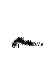 COc1ccc2c(c1)CC[C@@H]1[C@@H]2CC[C@]2(C)[C@@H](Oc3ccc4c(c3)CCC3C4CC[C@@]4(C)C3CC[C@@H]4OP(=O)(O)Oc3ccc4c(c3)CCC3C4CC[C@@]4(C)C3CC[C@@H]4O)C(Br)C[C@@H]12